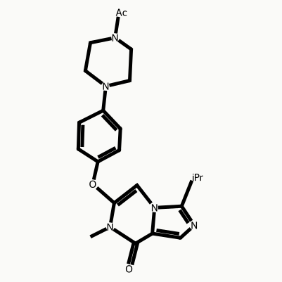 CC(=O)N1CCN(c2ccc(Oc3cn4c(C(C)C)ncc4c(=O)n3C)cc2)CC1